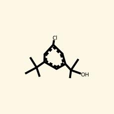 CC(C)(C)c1cc(Cl)cc(C(C)(C)O)c1